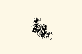 Cc1nccc(C(=N)C(N)=O)c1NCC(=O)N1CCC[C@H]1C(=O)NC[C@H]1CC1(Cl)Cl